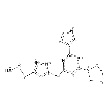 COCc1cc(Nc2nc(N3CCCC3)nc(-n3ccnc3)n2)n[nH]1